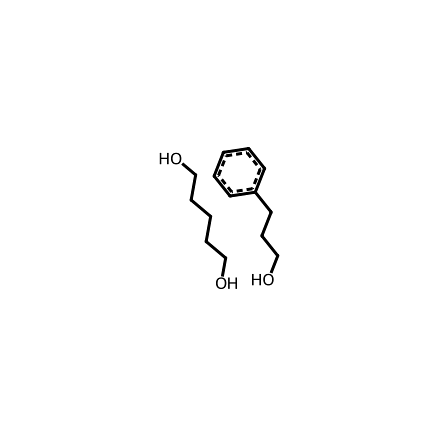 OCCCCCO.OCCCc1ccccc1